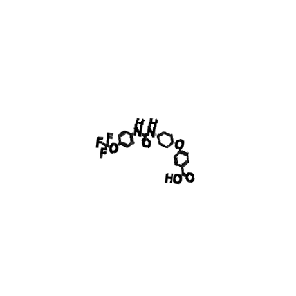 O=C(Nc1ccc(OC(F)(F)F)cc1)N[C@H]1CC[C@@H](Oc2ccc(C(=O)O)cc2)CC1